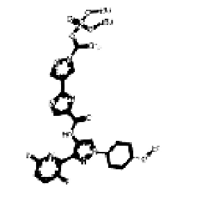 CCO[C@H]1CC[C@H](n2cc(NC(=O)c3csc(-c4cnn(C(C)OP(=O)(OC(C)(C)C)OC(C)(C)C)c4)n3)c(-c3nc(F)ccc3F)n2)CC1